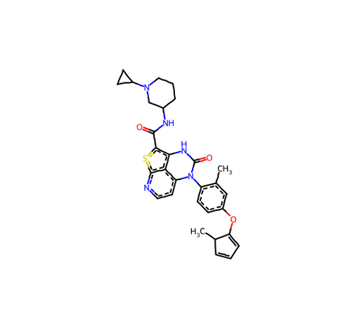 Cc1cc(OC2=CC=CC2C)ccc1N1C(=O)Nc2c(C(=O)NC3CCCN(C4CC4)C3)sc3nccc1c23